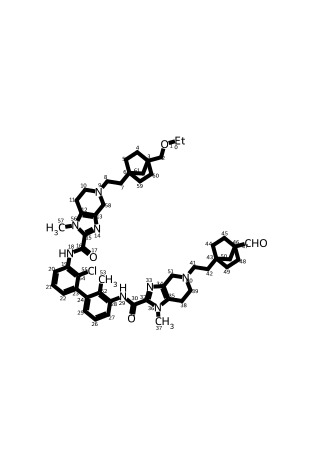 CCOCC12CCC(CCN3CCc4c(nc(C(=O)Nc5cccc(-c6cccc(NC(=O)c7nc8c(n7C)CCN(CCC79CCC(C=O)(CC7)C9)C8)c6C)c5Cl)n4C)C3)(CC1)C2